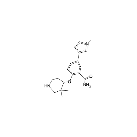 Cn1cnc(-c2ccc(OC3CCNCC3(C)C)c(C(N)=O)c2)c1